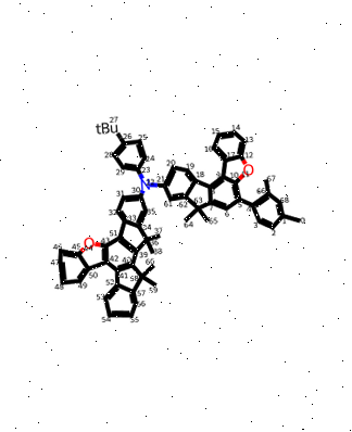 Cc1ccc(-c2cc3c(c4c2oc2ccccc24)-c2ccc(N(c4ccc(C(C)(C)C)cc4)c4ccc5c(c4)C(C)(C)c4c6c(c7c(oc8ccccc87)c4-5)-c4ccccc4C6(C)C)cc2C3(C)C)c(C)c1